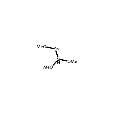 C[O][Sn][SiH](OC)OC